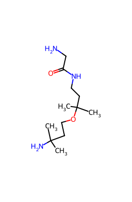 CC(C)(N)CCOC(C)(C)CCNC(=O)CN